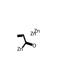 C=C[C](=O)[Zn].[Zn].[Zn]